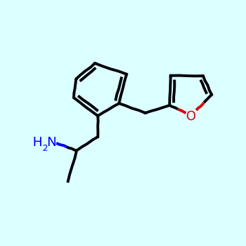 CC(N)Cc1ccccc1Cc1ccco1